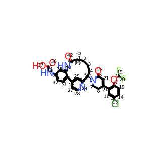 C[C@@H]1CCC[C@H](N2CCC(c3cc(Cl)ccc3OC(F)F)=CC2=O)c2cc(ccn2)-c2ccc(NC(=O)O)cc2NC1=O